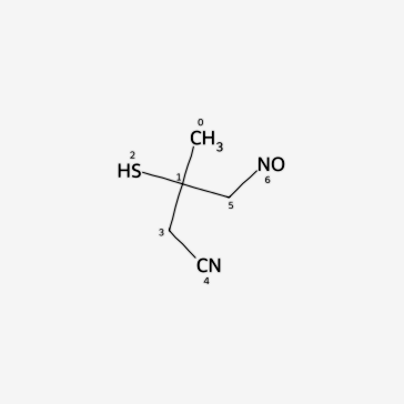 CC(S)(CC#N)CN=O